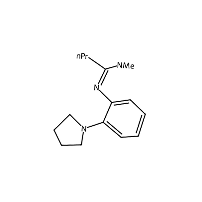 CCC/C(=N/c1ccccc1N1CCCC1)NC